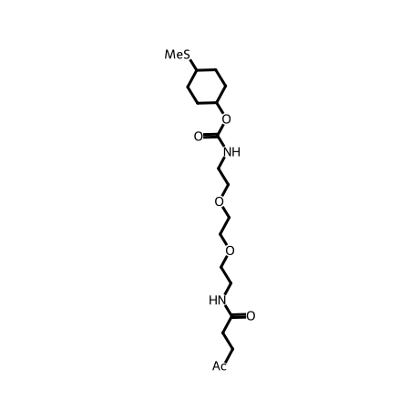 CSC1CCC(OC(=O)NCCOCCOCCNC(=O)CCC(C)=O)CC1